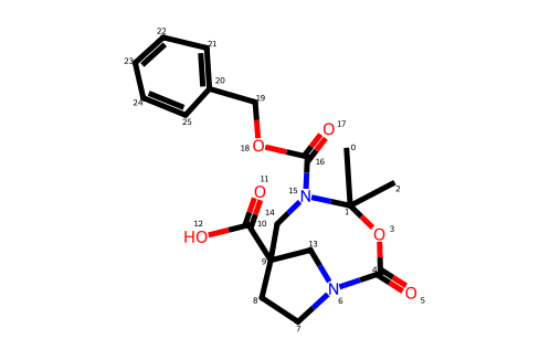 CC1(C)OC(=O)N2CCC(C(=O)O)(C2)CN1C(=O)OCc1ccccc1